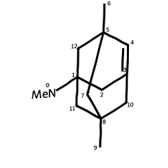 CNC12CC3=CC(C)(CC(C)(C3)C1)C2